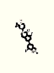 Cn1cc2cc(-c3cc(F)c4c(=O)n(C5CCNC6(CC6)C5)ccc4c3)cc(F)c2n1